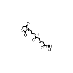 CCNC(=O)CSCC(=O)NCCN1C(=O)CSC1=O